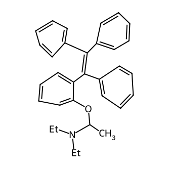 CCN(CC)C(C)Oc1ccccc1C(=C(c1ccccc1)c1ccccc1)c1ccccc1